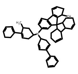 CC1CC(N(c2ccc3c(c2)C2(C4=C3C=CCC4C)C3CCC=CC3C3C=CCCC32)C2C=CC(c3ccccc3)=CC2)CC=C1C1=CC=CCC1